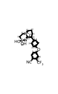 N#Cc1ccc(Oc2ccc(C34CCC(CC3)N3CCS(O)(O)N=C34)cc2)cc1C(F)(F)F